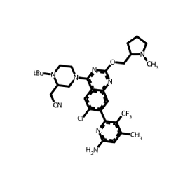 Cc1cc(N)nc(-c2cc3nc(OCC4CCCN4C)nc(N4CCN(C(C)(C)C)C(CC#N)C4)c3cc2Cl)c1C(F)(F)F